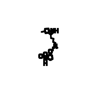 Cc1ccc2[nH]cc(CCCCN(C)CCOc3cccc4[nH]c(=O)oc34)c2c1